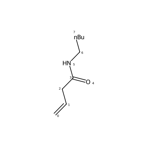 C=CCC(=O)NCCCCC